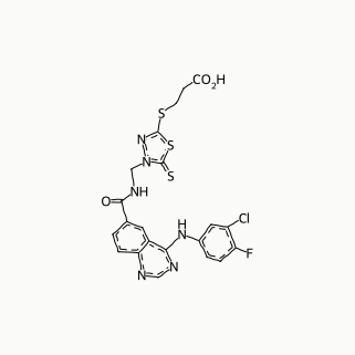 O=C(O)CCSc1nn(CNC(=O)c2ccc3ncnc(Nc4ccc(F)c(Cl)c4)c3c2)c(=S)s1